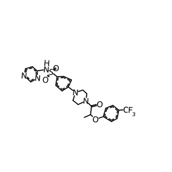 CC(Oc1ccc(C(F)(F)F)cc1)C(=O)N1CCN(c2ccc(S(=O)(=O)Nc3ccncn3)cc2)CC1